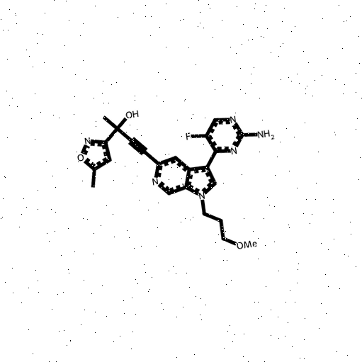 COCCCn1cc(-c2nc(N)ncc2F)c2cc(C#CC(C)(O)c3cc(C)on3)ncc21